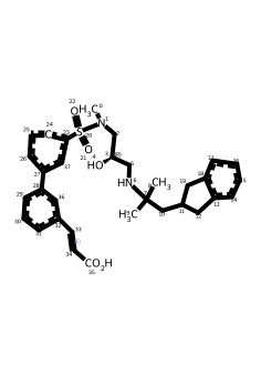 CN(C[C@H](O)CNC(C)(C)CC1Cc2ccccc2C1)S(=O)(=O)c1cccc(-c2cccc(/C=C/C(=O)O)c2)c1